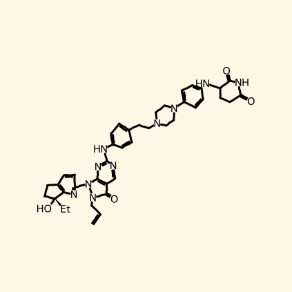 C=CCn1c(=O)c2cnc(Nc3ccc(CCN4CCN(c5ccc(NC6CCC(=O)NC6=O)cc5)CC4)cc3)nc2n1-c1ccc2c(n1)[C@@](O)(CC)CC2